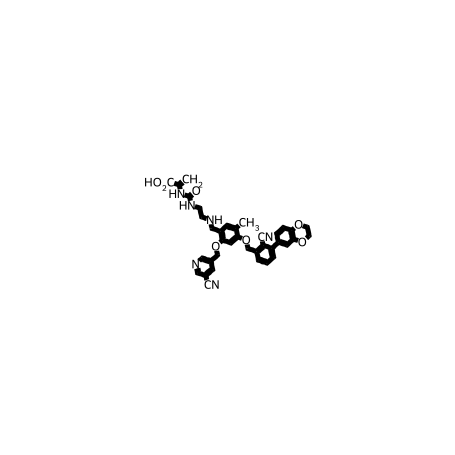 C=C(NC(=O)NCCNCc1cc(C)c(OCc2cccc(-c3ccc4c(c3)OCCO4)c2C#N)cc1OCc1cncc(C#N)c1)C(=O)O